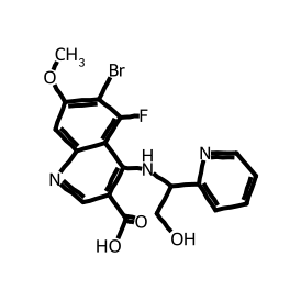 COc1cc2ncc(C(=O)O)c(NC(CO)c3ccccn3)c2c(F)c1Br